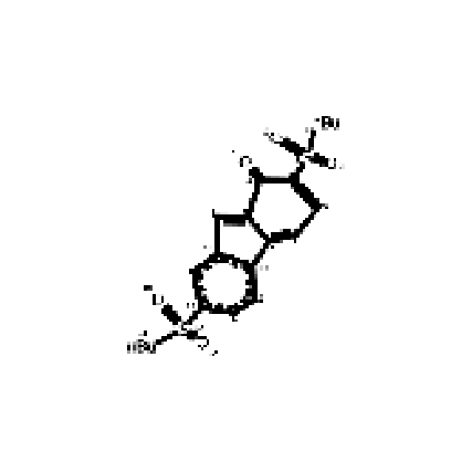 CCCCS(=O)(=O)C1=CC=C2C(=Cc3cc(S(=O)(=O)CCCC)ccc32)C1=O